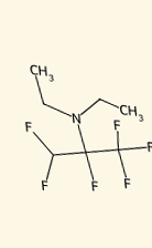 CCN(CC)C(F)(C(F)F)C(F)(F)F